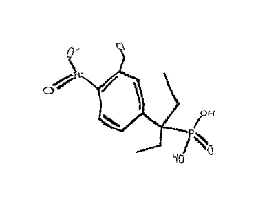 CCC(CC)(c1ccc([N+](=O)[O-])c(Cl)c1)P(=O)(O)O